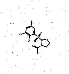 CCC(=O)[C@@H]1CCCN1S(=O)(=O)c1cc(Cl)cc(Cl)c1O